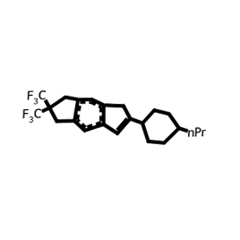 CCCC1CCC(C2=Cc3cc4c(cc3C2)CC(C(F)(F)F)(C(F)(F)F)C4)CC1